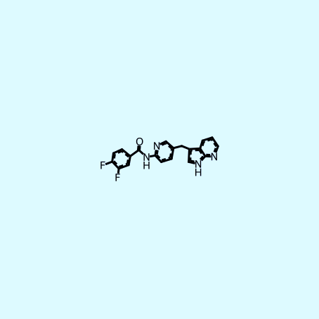 O=C(Nc1ccc(Cc2c[nH]c3ncccc23)cn1)c1ccc(F)c(F)c1